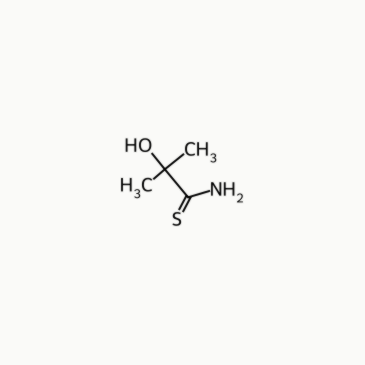 CC(C)(O)C(N)=S